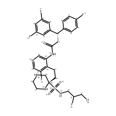 O=C(C[C@@H](c1ccc(F)cc1)c1cc(F)cc(F)c1)Nc1cncc(F)c1CC[C@]1(S(=O)(=O)NCC(F)CCl)CNCCN1